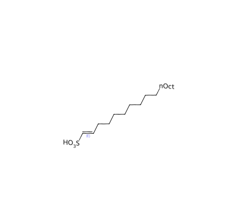 CCCCCCCCCCCCCCCC/C=C/S(=O)(=O)O